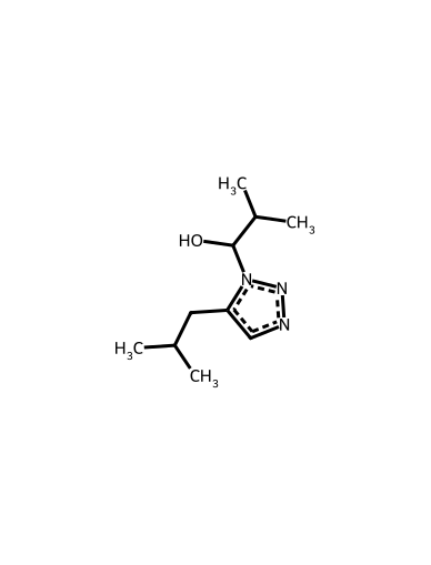 CC(C)Cc1cnnn1C(O)C(C)C